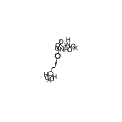 COC(=O)[C@@H](NC(=O)c1ccc(C#CC=C[C@H]2C[C@@H]3OC(C)(C)O[C@@H]3C2)cc1)C(C)(C)NC(=O)OC(C)(C)C